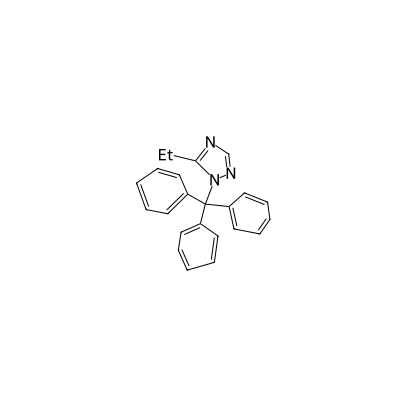 [CH2]Cc1ncnn1C(c1ccccc1)(c1ccccc1)c1ccccc1